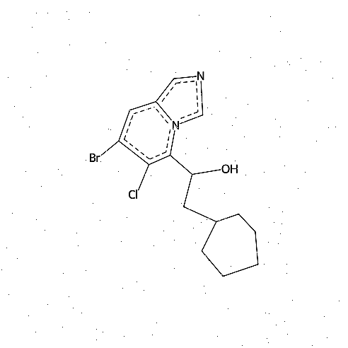 OC(CC1CCCCC1)c1c(Cl)c(Br)cc2cncn12